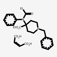 CCOC(=O)C1(N(C(=O)CC)c2ccccc2)CCN(Cc2ccccc2)CC1.O=C(O)/C=C\C(=O)O